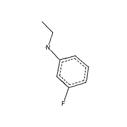 CC[N]c1cccc(F)c1